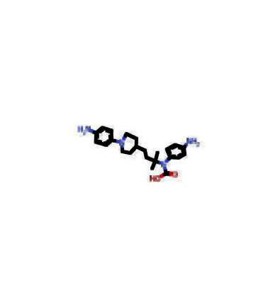 CC(C)(CCC1CCN(c2ccc(N)cc2)CC1)N(C(=O)O)c1ccc(N)cc1